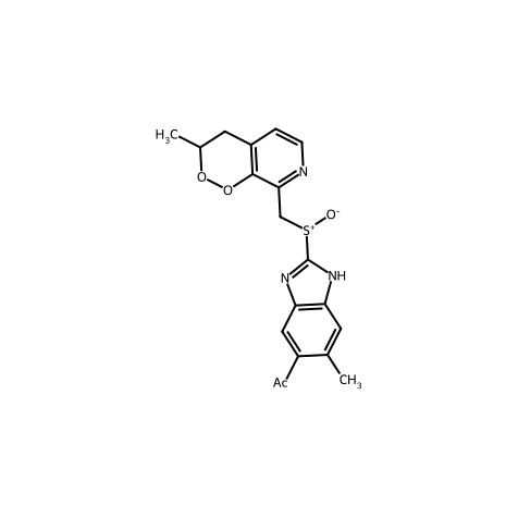 CC(=O)c1cc2nc([S+]([O-])Cc3nccc4c3OOC(C)C4)[nH]c2cc1C